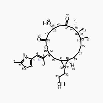 C/C(=C\c1csc(C)n1)[C@@H]1CC2[C@@H](CCC[C@H](C)[C@H](C)[C@@H](C)C(=O)C[C@@H](O)CC(=O)O1)[N@@]2CCO